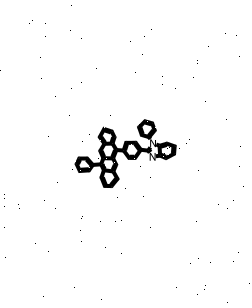 c1ccc(-c2c3ccccc3cc3c(-c4ccc(-c5nc6ccccc6n5-c5ccccc5)cc4)c4ccccc4cc23)cc1